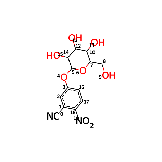 N#Cc1cc(OC2OC(CO)C(O)C(O)C2O)ccc1[N+](=O)[O-]